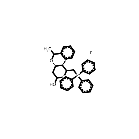 CC(O[C@H]1CC(O)O[C@H](C[P+](c2ccccc2)(c2ccccc2)c2ccccc2)[C@@H]1F)c1ccccc1.[I-]